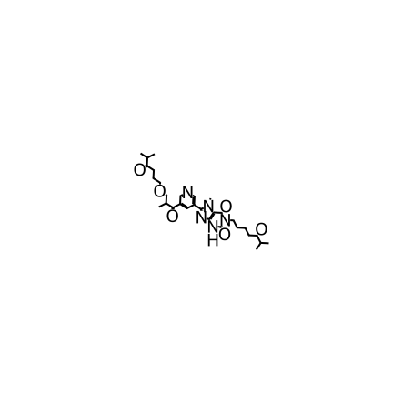 CC(C)C(=O)CCCCn1c(=O)[nH]c2nc(-c3cncc(C(=O)C(C)COCCCC(=O)C(C)C)c3)n(C)c2c1=O